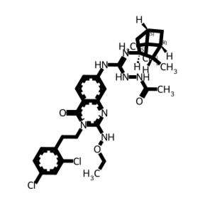 CCONc1nc2cc(NC(=N[C@H]3C[C@@H]4C[C@H]([C@@H]3C)C4(C)C)NNC(C)=O)ccc2c(=O)n1CCc1ccc(Cl)cc1Cl